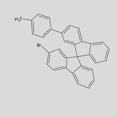 Cc1ccc(-c2ccc3c(c2)C2(c4ccccc4-c4ccc(Br)cc42)c2ccccc2-3)cc1